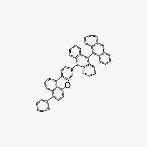 c1ccc(-c2ccc3c4c(cccc24)-c2ccc(-c4c5ccccc5c(-c5c6ccccc6cc6ccccc56)c5ccccc45)cc2O3)cc1